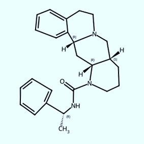 C[C@@H](NC(=O)N1CCC[C@H]2CN3CCc4ccccc4[C@H]3C[C@H]21)c1ccccc1